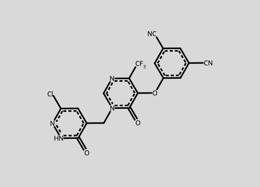 N#Cc1cc(C#N)cc(Oc2c(C(F)(F)F)ncn(Cc3cc(Cl)n[nH]c3=O)c2=O)c1